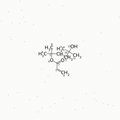 C=CC(=O)OC(C)(C)C.CC(C)(C)O